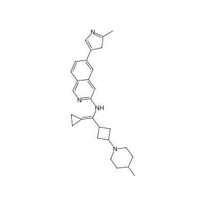 CC1=NC=C(c2ccc3cnc(NC(=C4CC4)C4CC(N5CCC(C)CC5)C4)cc3c2)C1